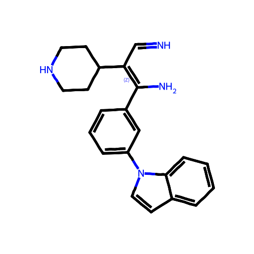 N=C/C(=C(\N)c1cccc(-n2ccc3ccccc32)c1)C1CCNCC1